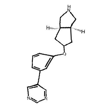 c1cc(OC2C[C@H]3CNC[C@H]3C2)cc(-c2cncnc2)c1